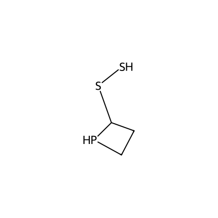 SSC1CCP1